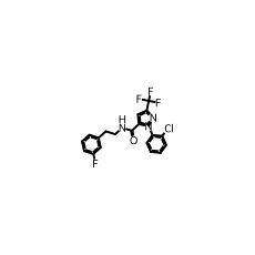 O=C(NCCc1cccc(F)c1)c1cc(C(F)(F)F)nn1-c1ccccc1Cl